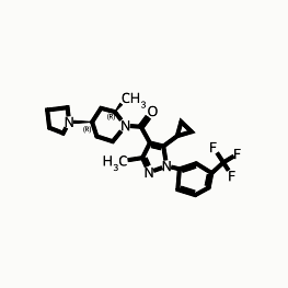 Cc1nn(-c2cccc(C(F)(F)F)c2)c(C2CC2)c1C(=O)N1CC[C@@H](N2CCCC2)C[C@H]1C